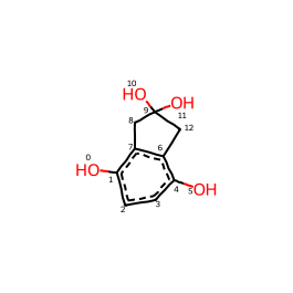 Oc1ccc(O)c2c1CC(O)(O)C2